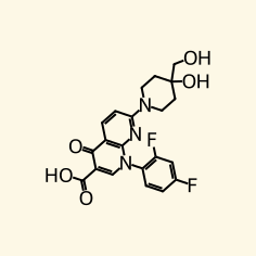 O=C(O)c1cn(-c2ccc(F)cc2F)c2nc(N3CCC(O)(CO)CC3)ccc2c1=O